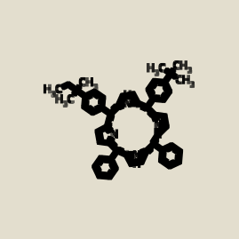 CCC(C)(C)c1ccc(-c2c3nc(c(-c4ccccc4)c4ccc([nH]4)c(-c4ccccc4)c4nc(c(-c5ccc(C(C)(C)C)cc5)c5ccc2[nH]5)C=C4)C=C3)cc1